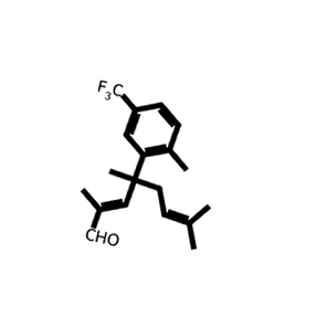 CC(C)=CCC(C)(/C=C(\C)C=O)c1cc(C(F)(F)F)ccc1C